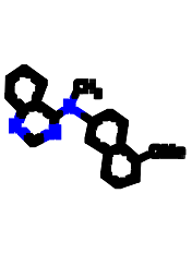 COc1cccc2cc(N(C)c3ncnc4ccccc34)ccc12